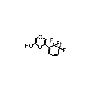 OC1=COC=C(C2=CC=CC(F)(F)C2(F)F)O1